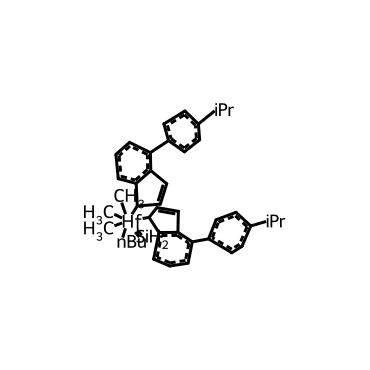 CCC[CH2][Hf]([CH3])([CH3])([CH3])(=[SiH2])([CH]1C=Cc2c(-c3ccc(C(C)C)cc3)cccc21)[CH]1C=Cc2c(-c3ccc(C(C)C)cc3)cccc21